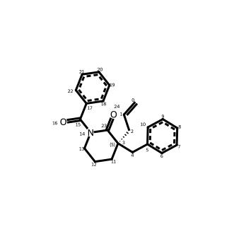 C=CC[C@]1(Cc2ccccc2)CCCN(C(=O)c2ccccc2)C1=O